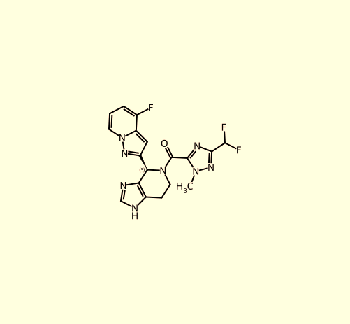 Cn1nc(C(F)F)nc1C(=O)N1CCc2[nH]cnc2[C@H]1c1cc2c(F)cccn2n1